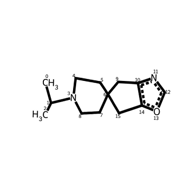 CC(C)N1CCC2(CC1)Cc1ncoc1C2